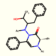 CC(=O)N1C=C(c2ccccc2)N(N(C(C)=O)C(Cc2ccccc2)C(O)C(F)(F)F)C(=O)[C@@H]1C(C)C